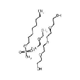 CCCCCCCCOS(C)(=O)=O.CCOCC.OCCOCCOCCOCCO